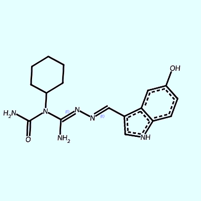 NC(=O)N(/C(N)=N/N=C/c1c[nH]c2ccc(O)cc12)C1CCCCC1